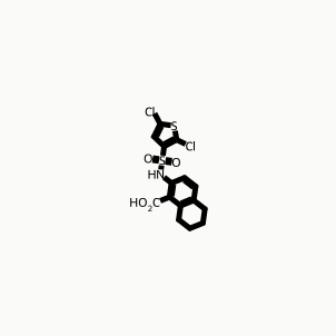 O=C(O)c1c(NS(=O)(=O)c2cc(Cl)sc2Cl)ccc2c1CCCC2